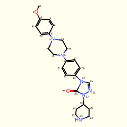 COc1ccc(N2CCN(c3ccc(-n4cnn(C5CCNCC5)c4=O)cc3)CC2)cc1